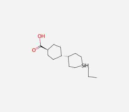 CCC[SiH]1CCC([C@H]2CC[C@H](C(=O)O)CC2)CC1